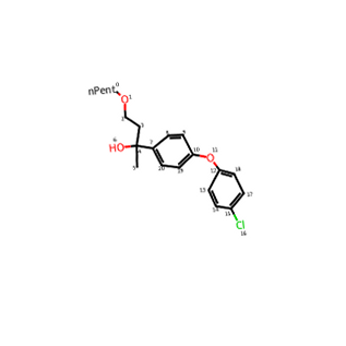 CCCCCOCCC(C)(O)c1ccc(Oc2ccc(Cl)cc2)cc1